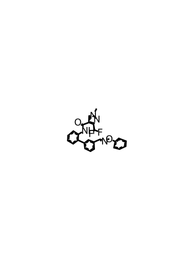 Cn1cc(C(=O)Nc2ccccc2-c2cccc(C=NOc3ccccc3)c2)c(C(F)F)n1